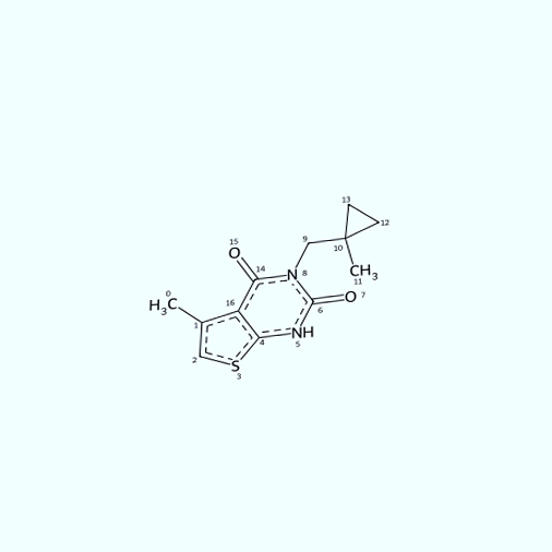 Cc1csc2[nH]c(=O)n(CC3(C)CC3)c(=O)c12